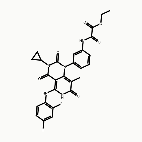 CCOC(=O)C(=O)Nc1cccc(-n2c(=O)n(C3CC3)c(=O)c3c(Nc4ccc(I)cc4F)[nH]c(=O)c(C)c32)c1